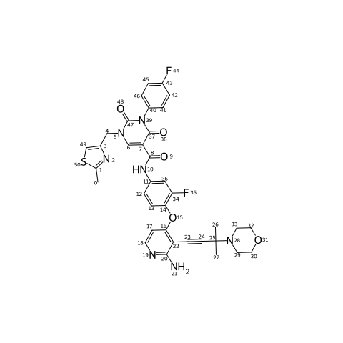 Cc1nc(Cn2cc(C(=O)Nc3ccc(Oc4ccnc(N)c4C#CC(C)(C)N4CCOCC4)c(F)c3)c(=O)n(-c3ccc(F)cc3)c2=O)cs1